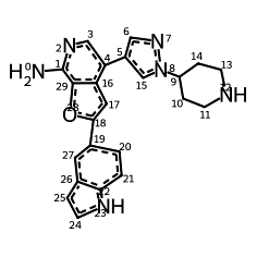 Nc1ncc(-c2cnn(C3CCNCC3)c2)c2cc(-c3ccc4[nH]ccc4c3)oc12